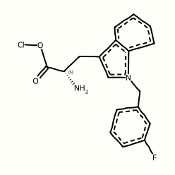 N[C@@H](Cc1cn(Cc2cccc(F)c2)c2ccccc12)C(=O)OCl